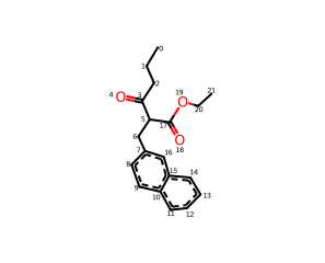 CCCC(=O)C(Cc1ccc2ccccc2c1)C(=O)OCC